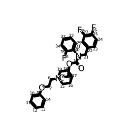 O=C(OC1C[N+]2(CCOc3ccccc3)CCC1CC2)N(Cc1ccc(F)c(F)c1)c1ccccc1F